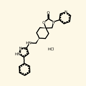 Cl.O=C1O[C@]2(CC[C@H](CNc3cc(-c4ccccc4)[nH]n3)CC2)CN1c1cccnc1